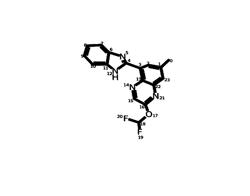 Cc1cc(-c2nc3ccccc3[nH]2)c2ncc(OC(F)F)nc2c1